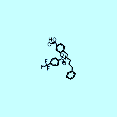 O=C(O)c1ccc(CN(CCCc2ccccc2)S(=O)(=O)c2ccc(C(F)(F)F)cc2)cc1